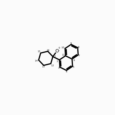 [O]C1(c2cccc3ccccc23)CCCCC1